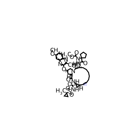 COC(=O)NC1(C(=O)N[C@H]2CCCCC/C=C\[C@@H]3C[C@@]3(C(=O)NS(=O)(=O)C3(C)CC3)NC(=O)[C@@H]3C[C@@H](Oc4nc5cc(OC)ccc5nc4C)CN3C2=O)CCCC1